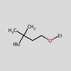 CCOCCC(C)(C)C(C)(C)C